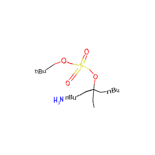 CCCCOS(=O)(=O)OC(C)(CCCC)CCCC.N